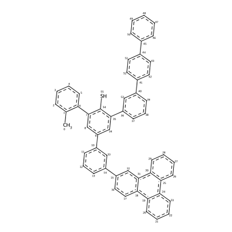 Cc1ccccc1-c1cc(-c2cccc(-c3ccc4c5ccccc5c5ccccc5c4c3)c2)cc(-c2cccc(-c3ccc(-c4ccccc4)cc3)c2)c1S